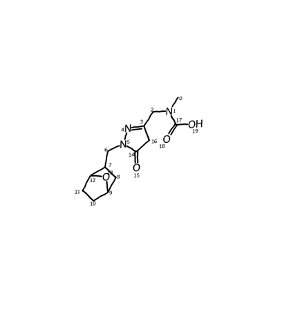 CN(CC1=NN(CC2CC3CCC2O3)C(=O)C1)C(=O)O